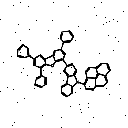 c1ccc(-c2cc(-c3ccccc3)c3oc4c(-c5ccc6c(c5)c5ccccc5n6-c5ccc6ccc7cccc8ccc5c6c78)cc(-c5ccccc5)cc4c3c2)cc1